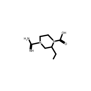 CCC1CN(C(=N)N)CCN1C(=O)O